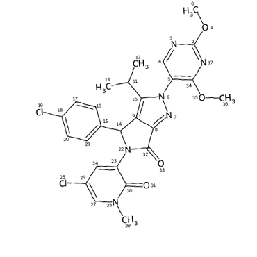 COc1ncc(-n2nc3c(c2C(C)C)C(c2ccc(Cl)cc2)N(c2cc(Cl)cn(C)c2=O)C3=O)c(OC)n1